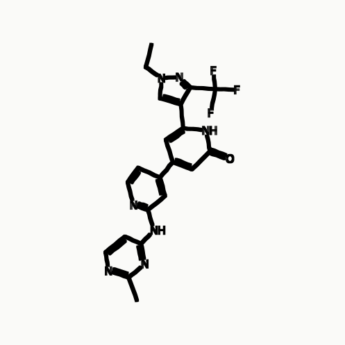 CCn1cc(-c2cc(-c3ccnc(Nc4ccnc(C)n4)c3)cc(=O)[nH]2)c(C(F)(F)F)n1